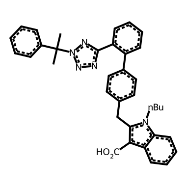 CCCCn1c(Cc2ccc(-c3ccccc3-c3nnn(C(C)(C)c4ccccc4)n3)cc2)c(C(=O)O)c2ccccc21